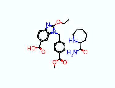 CCOc1nc2ccc(C(=O)O)cc2n1Cc1ccc(C(=O)OC)cc1.NC(=O)C1CCCCCN1